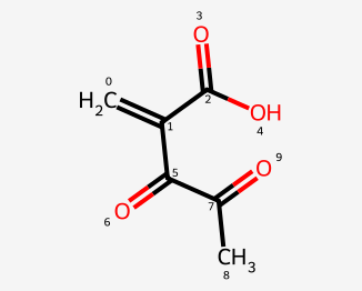 C=C(C(=O)O)C(=O)C(C)=O